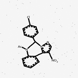 CC(=O)N1c2ccccc2-c2c([N+](=O)[O-])cnn2C1c1ccc(Cl)cc1